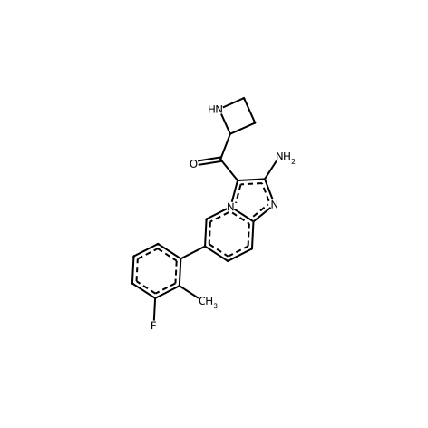 Cc1c(F)cccc1-c1ccc2nc(N)c(C(=O)C3CCN3)n2c1